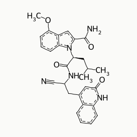 COc1cccc2c1cc(C(N)=O)n2[C@@H](CC(C)C)C(=O)NC(C#N)Cc1cc(=O)[nH]c2ccccc12